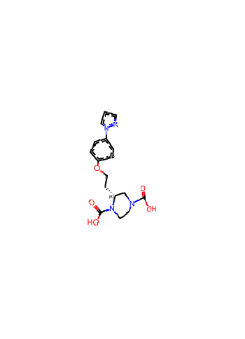 O=C(O)N1CCN(C(=O)O)[C@H](CCOc2ccc(-n3cccn3)cc2)C1